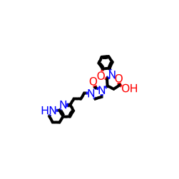 O=C(O)CC(c1nc2ccccc2o1)N1CCN(CCCc2ccc3c(n2)NCCC3)C1=O